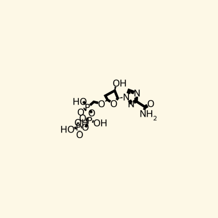 NC(=O)c1ncn([C@@H]2O[C@H](OCP(=O)(O)OP(=O)(O)OP(=O)(O)O)C[C@H]2O)n1